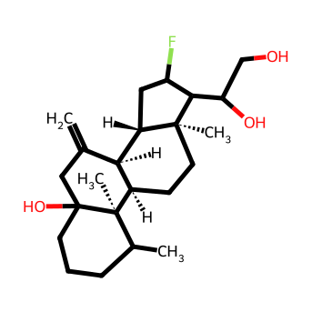 C=C1CC2(O)CCCC(C)[C@]2(C)[C@@H]2CC[C@]3(C)C(C(O)CO)C(F)C[C@H]3[C@H]12